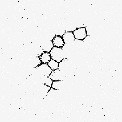 CC1ON(OC(=O)C(F)(F)F)c2c1c(-c1ccc(OC3CCNCC3)cc1)n[nH]c2=O